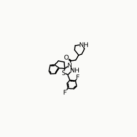 O=C(CC1CCNCC1)N1NC(c2cc(F)ccc2F)SC12CCc1ccccc12